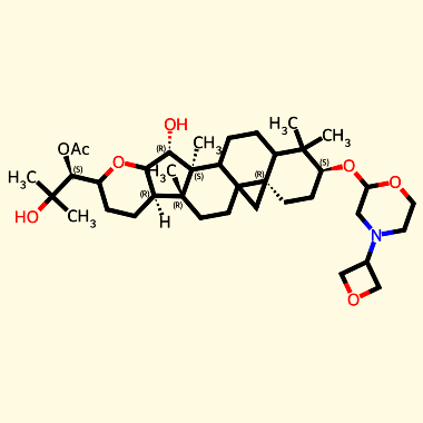 CC(=O)O[C@@H](C1CC[C@H]2C(O1)[C@H](O)[C@@]1(C)C3CCC4C(C)(C)[C@@H](OC5CN(C6COC6)CCO5)CC[C@@]45CC35CC[C@]21C)C(C)(C)O